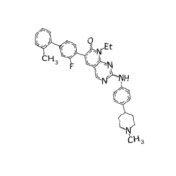 CCn1c(=O)c(-c2ccc(-c3ccccc3C)cc2F)cc2cnc(Nc3ccc(C4CCN(C)CC4)cc3)nc21